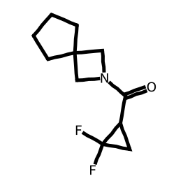 O=C(C1CC1(F)F)N1CC2(CCCC2)C1